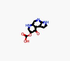 O=C(O)Oc1c[nH]c2cnc3[nH]ccc3c2c1=O